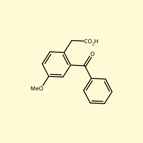 COc1ccc(CC(=O)O)c(C(=O)c2ccccc2)c1